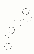 O=C1[C@H](N2CCCc3cc(Cl)ccc32)CCN1c1ccc(S(=O)(=O)Nc2ccncn2)cc1